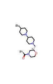 CCC(C)C1CCN(C2CCN(C[C@H]3CN(C(=O)C(C)C)CCO3)CC2)CC1